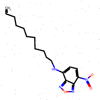 C=CCCCCCCCCCNc1ccc([N+](=O)[O-])c2nonc12